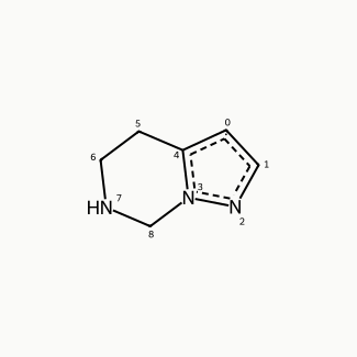 [c]1cnn2c1CCNC2